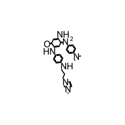 CN1C=CN(CCCNc2ccc(NC3=CC(=Nc4ccc(N(C)C)cc4)C(N)=CC3=O)cc2)C1